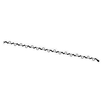 C#CCOCCOCCOCCOCCOCCOCCOCCOCCOCCOCCOCCOCCOCCOCCOCCOCCI